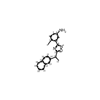 Cc1ccc(N)cc1-c1noc(C(C)c2ccc3ccccc3c2)n1